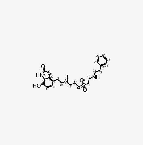 O=c1[nH]c2c(O)ccc(CCNCCCS(=O)(=O)CCNCCc3ccccc3)c2s1